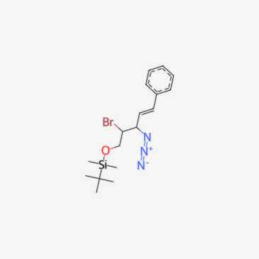 CC(C)(C)[Si](C)(C)OCC(Br)C(/C=C/c1ccccc1)N=[N+]=[N-]